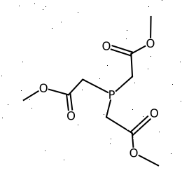 COC(=O)CP(CC(=O)OC)CC(=O)OC